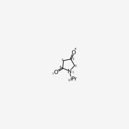 CC(C)N1CC(=O)CC1=O